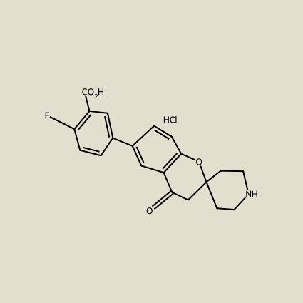 Cl.O=C(O)c1cc(-c2ccc3c(c2)C(=O)CC2(CCNCC2)O3)ccc1F